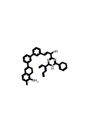 C=C/C=C(\C=C)C1N=C(C(/C=C/c2cccc(-c3cccc(C4=Cc5ccc(C)c(N)c5CC4)c3)c2)CCC)N=C(C2=CC=CCC2)N1